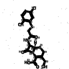 O=C(CSc1cc(Cl)ccc1Cl)NC1C(=O)N2C(C(=O)O)=C(CO)CS[C@H]12